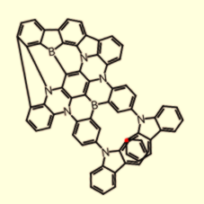 c1ccc2c(c1)c1ccccc1n2-c1ccc2c(c1)B1c3cc(-n4c5ccccc5c5ccccc54)ccc3-n3c4cccc5c6ccc7c8c6n(c6c9c%10c(c1c63)n-2c1cccc2c3ccc-7c(c3n%10c21)B89)c54